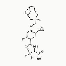 CC1(COc2cc(F)c(C(=O)NC(C(=O)O)C(F)(F)F)cc2C2CC2)CC2CC3CC(C1)C32